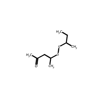 CCC(C)SSC(C)CC(C)=O